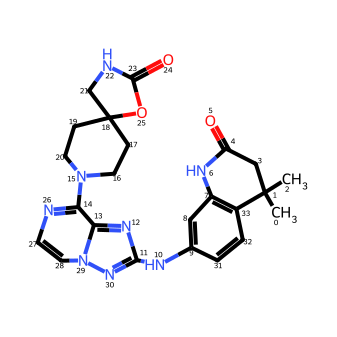 CC1(C)CC(=O)Nc2cc(Nc3nc4c(N5CCC6(CC5)CNC(=O)O6)nccn4n3)ccc21